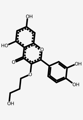 O=c1c(OCCCO)c(C2=C=C=C(O)C(O)=C2)oc2cc(O)cc(O)c12